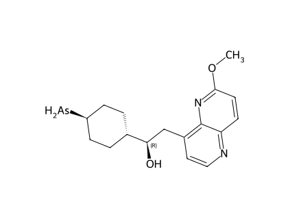 COc1ccc2nccc(C[C@@H](O)[C@H]3CC[C@H]([AsH2])CC3)c2n1